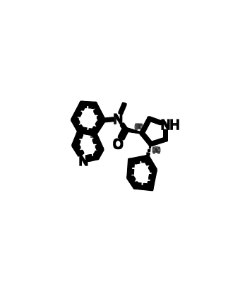 CN(C(=O)[C@H]1CNC[C@@H]1c1ccccc1)c1cccc2cnccc12